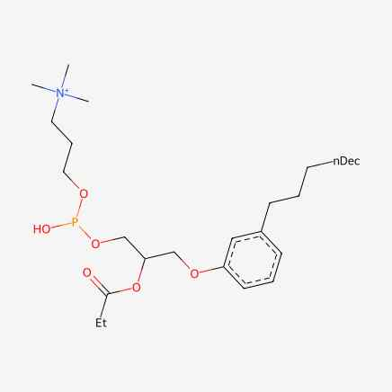 CCCCCCCCCCCCCc1cccc(OCC(COP(O)OCCC[N+](C)(C)C)OC(=O)CC)c1